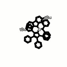 CC(C)(C)c1ccc2c(c1)[CH]([Zr]([C]1=C(c3ccccc3)C(c3ccccc3)=C(c3ccccc3)C1c1ccccc1)=[C](c1ccccc1)c1ccccc1)c1cc(C(C)(C)C)ccc1-2